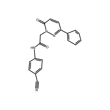 N#Cc1ccc(NC(=O)Cn2nc(-c3ccccc3)ccc2=O)cc1